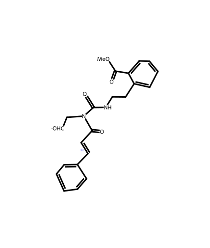 COC(=O)c1ccccc1CCNC(=O)N(C[C]=O)C(=O)/C=C/c1ccccc1